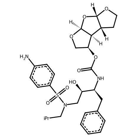 CC(C)CN(C[C@@H](O)[C@H](Cc1ccccc1)NC(=O)O[C@H]1CO[C@H]2O[C@@H]3OCC[C@@H]3[C@H]21)S(=O)(=O)c1ccc(N)cc1